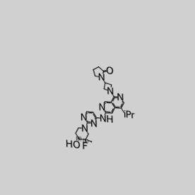 CC(C)c1cnc(N2CC(N3CCCC3=O)C2)c2cnc(Nc3ccnc(N4CC[C@@H](O)[C@@](C)(F)C4)n3)cc12